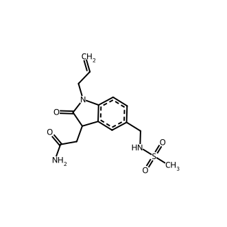 C=CCN1C(=O)C(CC(N)=O)c2cc(CNS(C)(=O)=O)ccc21